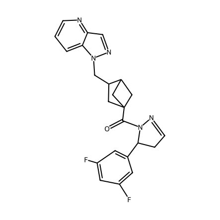 O=C(N1N=CCC1c1cc(F)cc(F)c1)C12CC(Cn3ncc4ncccc43)C(C1)C2